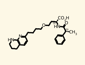 C[C@H](C(=O)N[C@@H](CCOCCCCc1ccc2c(n1)NCCC2)C(=O)O)c1ccccc1